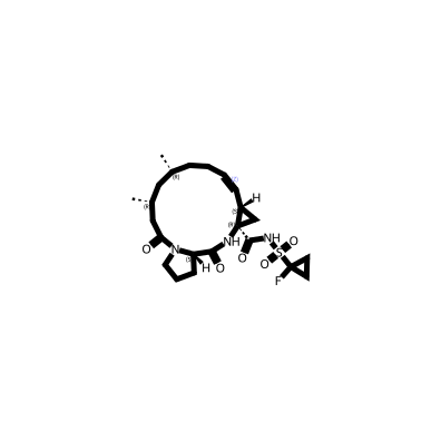 C[C@@H]1CC/C=C\[C@@H]2C[C@@]2(C(=O)NS(=O)(=O)C2(F)CC2)NC(=O)[C@@H]2CCCN2C(=O)C[C@H](C)C1